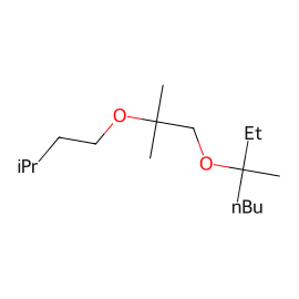 CCCCC(C)(CC)OCC(C)(C)OCCC(C)C